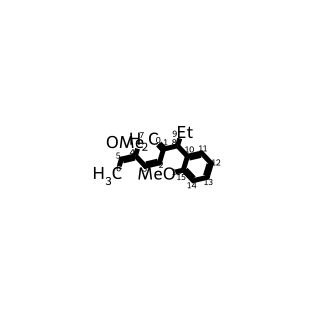 C=C(/C=C\C(=C/C)OC)C(CC)c1ccccc1OC